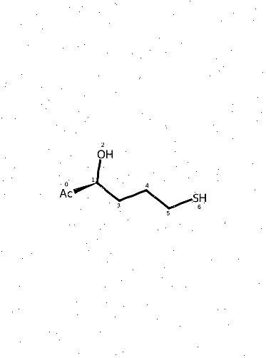 CC(=O)[C@@H](O)CCCS